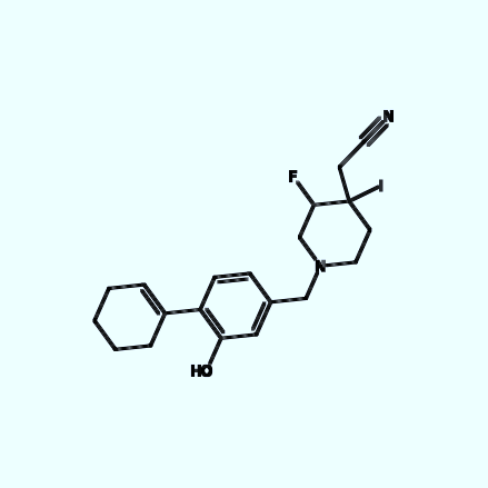 N#CCC1(I)CCN(Cc2ccc(C3=CCCCC3)c(O)c2)CC1F